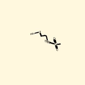 CC(C)(C)OCCNS(C)(=O)=O